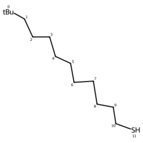 CC(C)(C)CCCCCCCCCCS